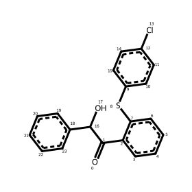 O=C(c1ccccc1Sc1ccc(Cl)cc1)C(O)c1ccccc1